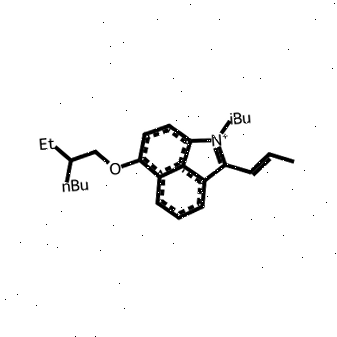 C/C=C/C1=[N+](C(C)CC)c2ccc(OCC(CC)CCCC)c3cccc1c23